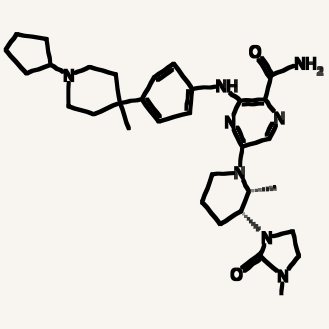 C[C@@H]1[C@H](N2CCN(C)C2=O)CCCN1c1cnc(C(N)=O)c(Nc2ccc(C3(C)CCN(C4CCCC4)CC3)cc2)n1